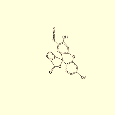 O=C1OC2(c3ccc(O)cc3Oc3cc(O)c(N=C=S)cc32)c2ccccc21